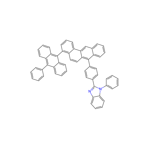 c1ccc(-c2c3ccccc3c(-c3cccc4c3ccc3c(-c5ccc(-c6nc7ccccc7n6-c6ccccc6)cc5)c5ccccc5cc34)c3ccccc23)cc1